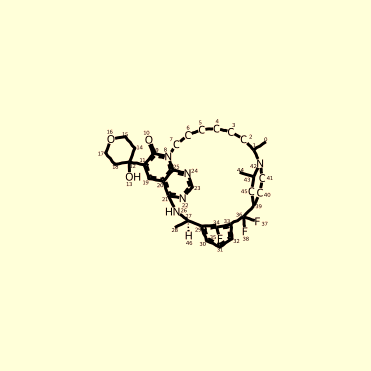 CC1CCCCCCn2c(=O)c(C3(O)CCOCC3)cc3c(ncnc32)N[C@H](C)c2cccc(c2F)C(F)(F)C2CCN1C(C)C2